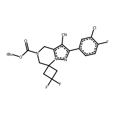 CC(C)(C)OC(=O)N1Cc2c(C#N)c(-c3ccc(F)c(Cl)c3)nn2C2(C1)CC(F)(F)C2